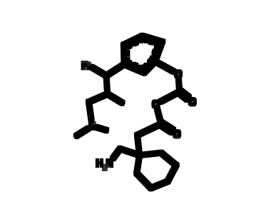 CCC(c1cccc(OC(=O)OC(=O)CC2(CN)CCCCC2)c1)C(C)CN(C)C